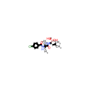 CC(C)C[C@H](NC(=O)C(C)(C)NC(=O)c1ccc(Cl)cc1)B(O)O